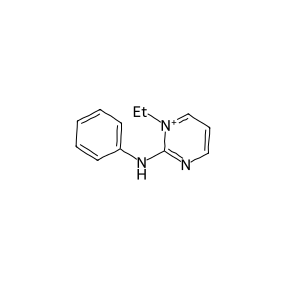 CC[n+]1cccnc1Nc1ccccc1